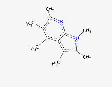 Cc1nc2c(c(C)c1C)c(C)c(C)n2C